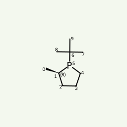 C[C@@H]1CCCP1C(C)(C)C